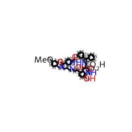 COc1ccc(CN(CCCNC[C@H](O)c2ccc(O)c3[nH]c(=O)ccc23)C(=O)c2ccc(COc3cccc([C@@H](NC(=O)O)c4ccccc4)c3)cc2)cc1